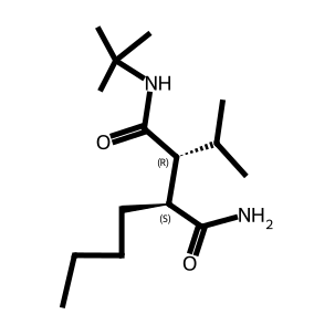 CCCC[C@H](C(N)=O)[C@H](C(=O)NC(C)(C)C)C(C)C